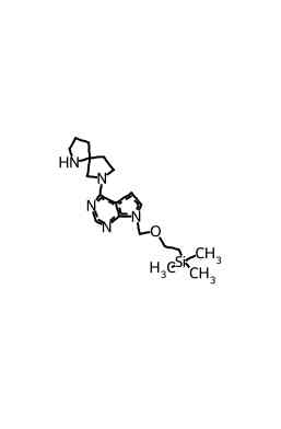 C[Si](C)(C)CCOCn1ccc2c(N3CCC4(CCCN4)C3)ncnc21